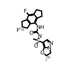 C[C@H]1Cn2ncc(S(C)(=O)=NC(=O)Nc3c4c(c(F)c5c3C[C@H](F)C5)CCC4)c2O1